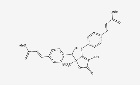 CCOC(=O)C1(C(S)c2ccc(/C=C/C(=O)OC)cc2)OC(=O)C(O)=C1Sc1ccc(/C=C/C(=O)OC)cc1